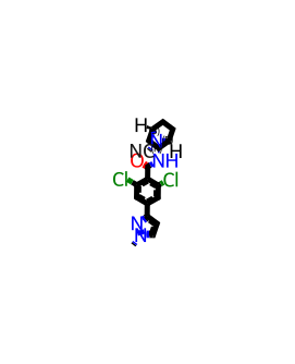 Cn1ccc(-c2cc(Cl)c(C(=O)N[C@@H]3C[C@@H]4CC[C@H]3N4C#N)c(Cl)c2)n1